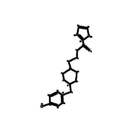 O=C(CCCC1CCN(Cc2ccc(Cl)cc2)CC1)c1ncco1